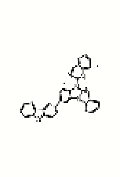 c1ccc2nc(-n3c4ccc(-c5ccc6oc7ccccc7c6c5)cc4n4c5ccccc5nc34)ncc2c1